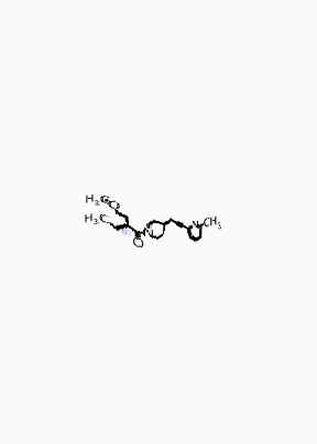 C/C=C(\C=COC)C(=O)N1CCC(=CC#Cc2cccc(C)n2)CC1